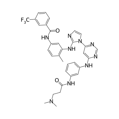 Cc1ccc(NC(=O)c2cccc(C(F)(F)F)c2)cc1Nc1nccn1-c1cc(Nc2cccc(NC(=O)CCN(C)C)c2)ncn1